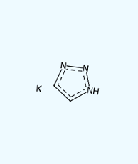 [K].c1c[nH]nn1